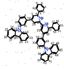 c1ccc(-c2cc(-c3cccc(-n4c5ccccc5c5ccccc54)c3)cc(-c3cc(-c4cccc(-n5c6ccccc6c6ccccc65)c4)cc(-c4ccccc4)n3)n2)cc1